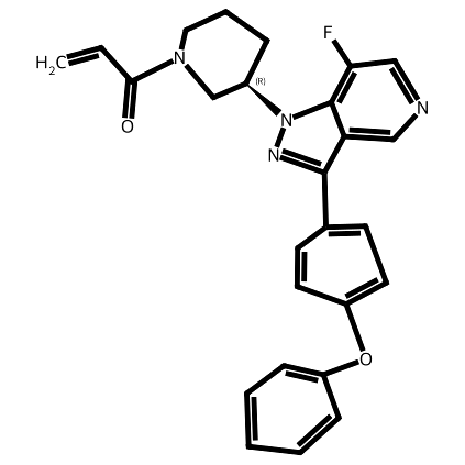 C=CC(=O)N1CCC[C@@H](n2nc(-c3ccc(Oc4ccccc4)cc3)c3cncc(F)c32)C1